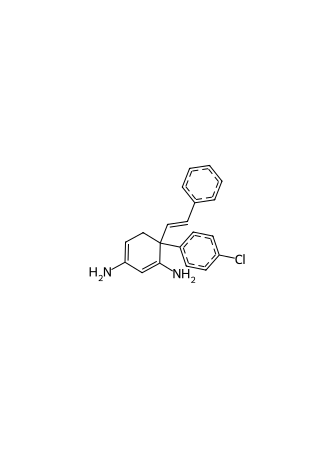 NC1=CCC(C=Cc2ccccc2)(c2ccc(Cl)cc2)C(N)=C1